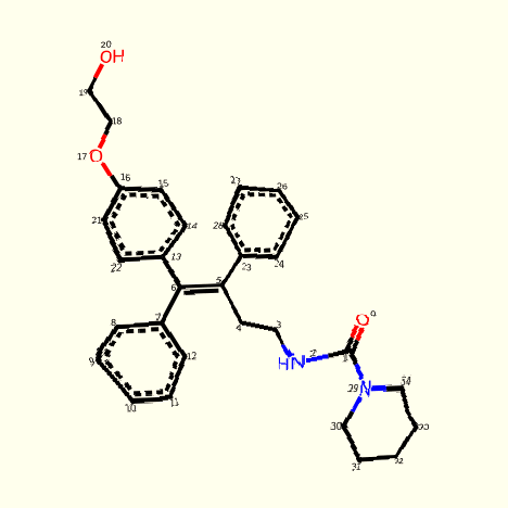 O=C(NCC/C(=C(\c1ccccc1)c1ccc(OCCO)cc1)c1ccccc1)N1CCCCC1